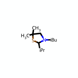 CCC(C)N1CC(C)(C)SC1C(C)C